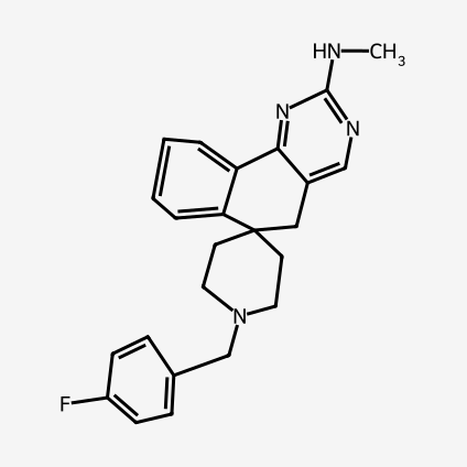 CNc1ncc2c(n1)-c1ccccc1C1(CCN(Cc3ccc(F)cc3)CC1)C2